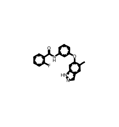 Cc1cc2cn[nH]c2cc1Oc1cccc(NC(=O)c2ccccc2F)c1